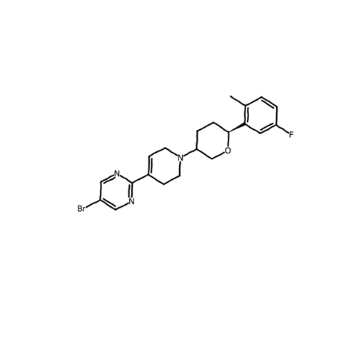 Cc1ccc(F)cc1[C@@H]1CCC(N2CC=C(c3ncc(Br)cn3)CC2)CO1